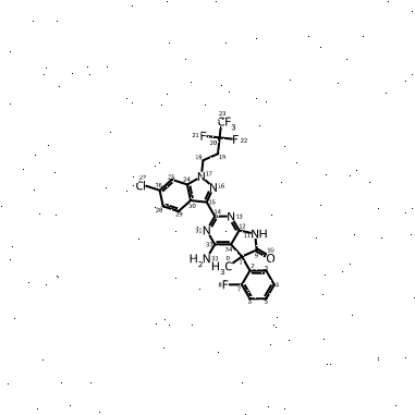 CC1(c2ccccc2F)C(=O)Nc2nc(-c3nn(CCC(F)(F)C(F)(F)F)c4cc(Cl)ccc34)nc(N)c21